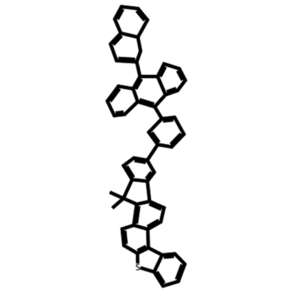 CC1(C)c2ccc(-c3cccc(-c4c5ccccc5c(C5=CC=C6C=CC=CC6C5)c5ccccc45)c3)cc2-c2ccc3c(ccc4sc5ccccc5c43)c21